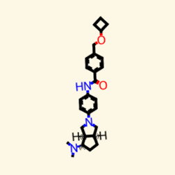 CN(C)[C@@H]1CC[C@@H]2CN(c3ccc(NC(=O)c4ccc(COC5CCC5)cc4)cc3)C[C@@H]21